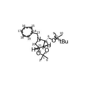 CC1(C)O[C@H]2[C@@H](CO[Si](C)(C)C(C)(C)C)N(Cc3ccccc3)C[C@H]2O1